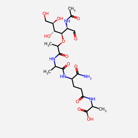 CC(=O)N[C@@H](C=O)[C@@H](OC(C)C(=O)NC(C)C(=O)NC(CCC(=O)NC(C)C(=O)O)C(N)=O)[C@H](O)[C@H](O)CO